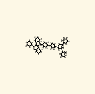 c1ccc(-c2nc3ccccc3c3c2c2ccccc2n3-c2ccc(-c3ccc(-c4cc(-c5ccccn5)nc(-c5ccccn5)c4)cc3)cc2)cc1